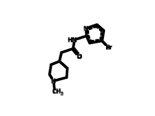 CN1CCC(CC(=O)Nc2cc(Br)ccn2)CC1